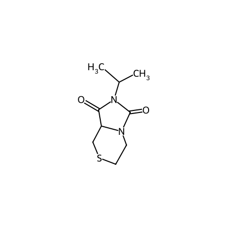 CC(C)N1C(=O)C2CSCCN2C1=O